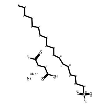 CCCCCCCCCCCCCCCCCCS(=O)(=O)[O-].O=C([O-])CCC(=O)O.[Na+].[Na+]